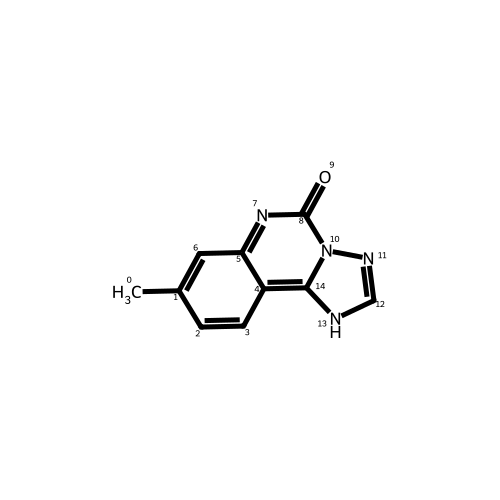 Cc1ccc2c(c1)nc(=O)n1nc[nH]c21